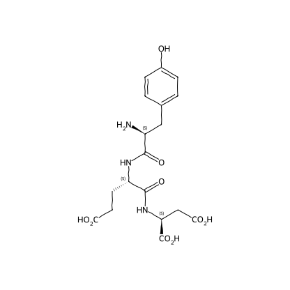 N[C@@H](Cc1ccc(O)cc1)C(=O)N[C@@H](CCC(=O)O)C(=O)N[C@@H](CC(=O)O)C(=O)O